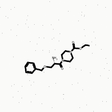 CCOC(=O)N1CCN(C(=O)[C@@H](N)COCc2ccccc2)CC1